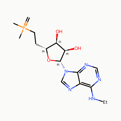 C=P(C)(C)CC[C@H]1O[C@@H](n2cnc3c(NCC)ncnc32)[C@H](O)[C@@H]1O